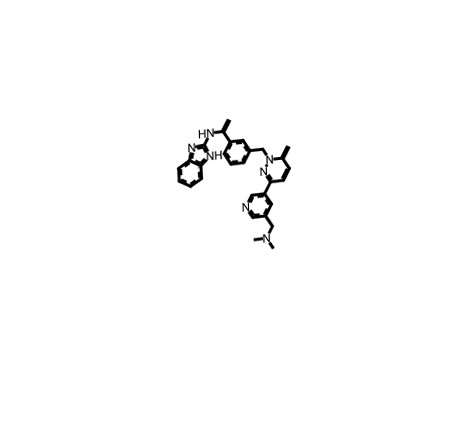 C=C(Nc1nc2ccccc2[nH]1)c1cccc(CN2N=C(c3cncc(CN(C)C)c3)C=CC2=C)c1